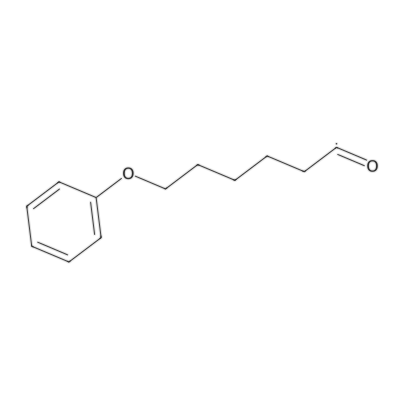 O=[C]CCCCCOc1ccccc1